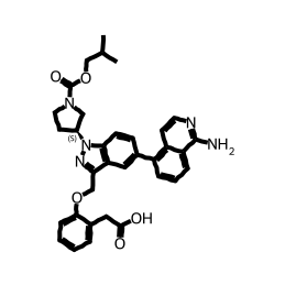 CC(C)COC(=O)N1CC[C@H](n2nc(COc3ccccc3CC(=O)O)c3cc(-c4cccc5c(N)nccc45)ccc32)C1